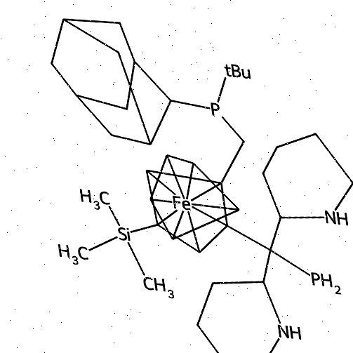 CC(C)(C)P(C[C]12[CH]3[C]4([Si](C)(C)C)[CH]5[C]1(C(P)(C1CCCCN1)C1CCCCN1)[Fe]35241678[CH]2[CH]1[CH]6[CH]7[CH]28)C1C2CC3CC(C2)CC1C3